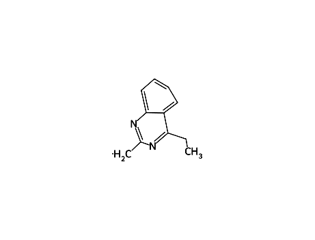 [CH2]c1nc(CC)c2ccccc2n1